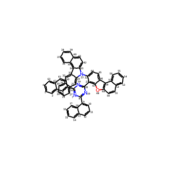 c1ccc2cc(-c3nc(-c4cccc5ccccc45)nc(-c4c(-n5c6cc7ccccc7cc6c6c7ccccc7ccc65)ccc5c4oc4ccc6ccccc6c45)n3)ccc2c1